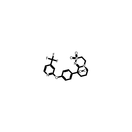 O=S1(=O)CCN2C(=N1)C1(c3ccc(Oc4cc(C(F)(F)F)ccn4)cc3)CCC2CC1